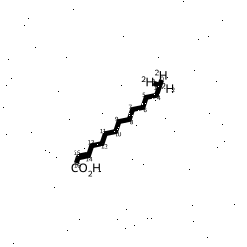 [2H]C([2H])([2H])CCCCCCCCCCC=CC(=O)O